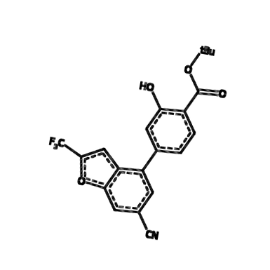 CC(C)(C)OC(=O)c1ccc(-c2cc(C#N)cc3oc(C(F)(F)F)cc23)cc1O